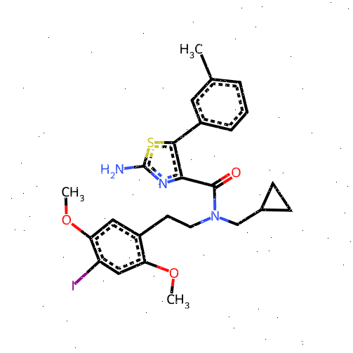 COc1cc(CCN(CC2CC2)C(=O)c2nc(N)sc2-c2cccc(C)c2)c(OC)cc1I